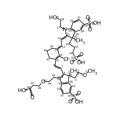 COCCC1(C)C(/C=C/C2=C(Cl)C(=C/C=C3/N(CCO)c4ccc(S(=O)(=O)O)cc4C3(C)CCCS(=O)(=O)O)/CCC2)=[N+](CCOCCC(=O)O)c2ccc(S(=O)(=O)O)cc21